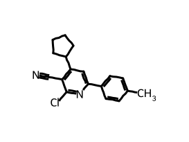 Cc1ccc(-c2cc(C3CCCC3)c(C#N)c(Cl)n2)cc1